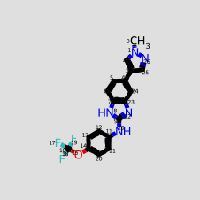 Cn1cc(-c2ccc3[nH]c(Nc4ccc(OC(F)(F)F)cc4)nc3c2)cn1